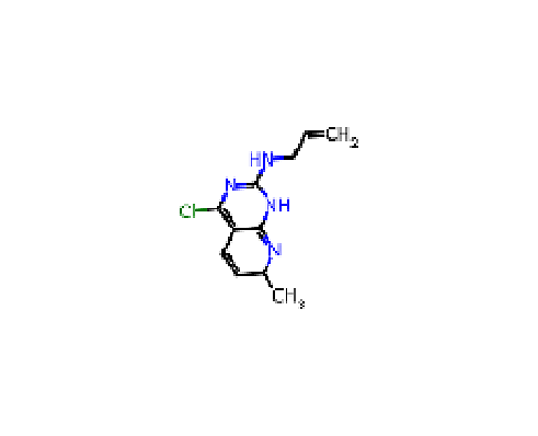 C=CCNC1=NC(Cl)=C2C=CC(C)N=C2N1